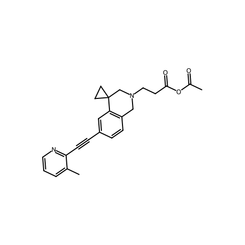 CC(=O)OC(=O)CCN1Cc2ccc(C#Cc3ncccc3C)cc2C2(CC2)C1